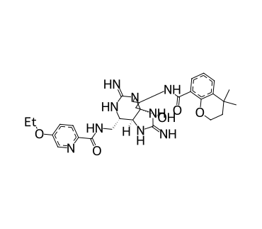 CCOc1ccc(C(=O)NC[C@@H]2NC(=N)N3CC(NC(=O)c4cccc5c4OCCC5(C)C)[C@@H](O)C34NC(=N)N[C@@H]24)nc1